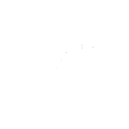 CC(C)(C)OC(=O)NCC(C)(C)OCCOS(=O)(=O)COS(C)(=O)=O